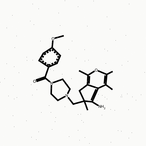 COc1ccc(C(=O)N2CCN(CC3(C)CC4=C(C)OC(C)=C(C)C4=C3N)CC2)cc1